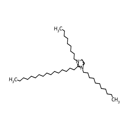 CCCCCCCCCCCCCCCCc1n(CCCCCCCCCCC)cc[n+]1CCCCCCCCC